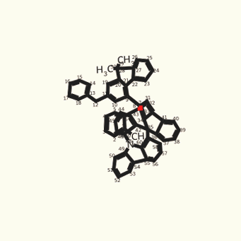 Cc1ccccc1-c1c(-c2cc(Cc3ccccc3)cc3c2-c2ccccc2C3(C)C)ccc2c1C1(c3ccccc3-2)c2ccccc2-n2c3ccccc3c3cccc1c32